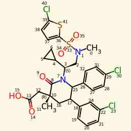 CN(C[C@H](C1CC1)N1C(=O)[C@@](C)(CC(=O)O)CC(c2cccc(Cl)c2)C1c1ccc(Cl)cc1)S(=O)(=O)c1ccc(Cl)s1